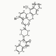 Cc1cc(CC(OC(=O)N2CCC(N3Cc4ccccc4NC3=O)CC2)c2cccc(Br)n2)cc2cn[nH]c12